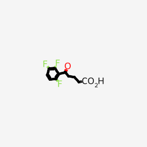 O=C(O)CCCC(=O)c1c(F)ccc(F)c1F